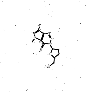 CC(=O)OCC1[CH][CH]C(n2nnc3c(Cl)nn(C)c3c2=O)O1